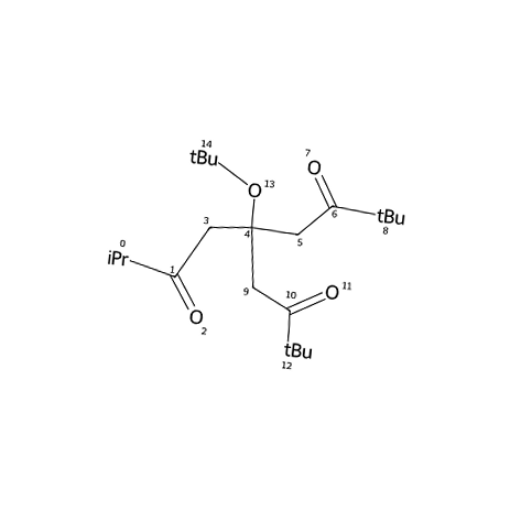 CC(C)C(=O)CC(CC(=O)C(C)(C)C)(CC(=O)C(C)(C)C)OC(C)(C)C